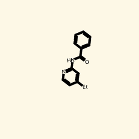 CCc1ccnc(NC(=O)c2ccccc2)c1